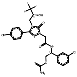 NC(=O)OC[C@@H](NC(=O)Cn1nc(-c2ccc(Cl)cc2)n(C[C@H](O)C(F)(F)F)c1=O)c1cccc(Cl)c1